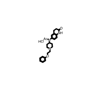 CC(=O)N(c1ccc2c(c1)CCC(=O)N2)C1CCN(CCOc2ccccc2)CC1.Cl